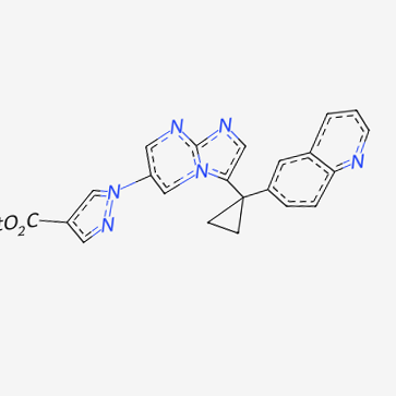 CCOC(=O)c1cnn(-c2cnc3ncc(C4(c5ccc6ncccc6c5)CC4)n3c2)c1